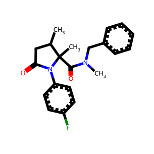 CC1CC(=O)N(c2ccc(F)cc2)C1(C)C(=O)N(C)Cc1ccccc1